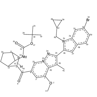 COc1cc(C(=O)C2CC3CCC2[C@@H]3NC(=O)OC(C)(C)C)cn2nc(-c3cc4ccc(Br)cc4n3CC3CC3)c(C)c12